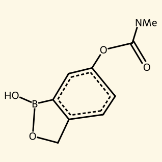 CNC(=O)Oc1ccc2c(c1)B(O)OC2